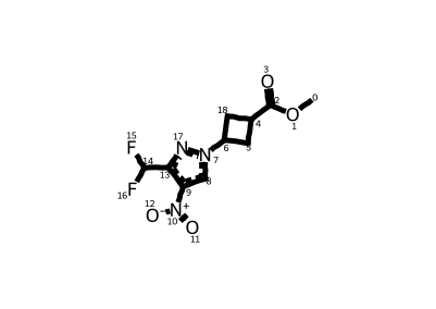 COC(=O)C1CC(n2cc([N+](=O)[O-])c(C(F)F)n2)C1